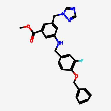 COC(=O)c1cc(Cn2cncn2)cc(NCc2ccc(OCc3ccccc3)c(F)c2)c1